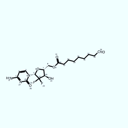 Nc1ccn([C@@H]2O[C@H](COC(=O)CCCCCCCC=O)[C@@H](O)C2(F)F)c(=O)n1